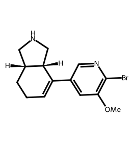 COc1cc(C2=CCC[C@@H]3CNC[C@H]23)cnc1Br